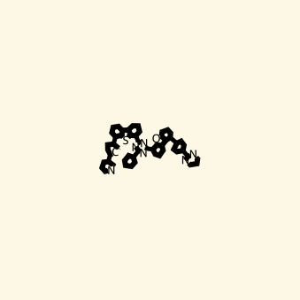 c1ccc(-c2nc(-c3cccc4c3oc3cccc(-c5ccc(-c6ncccn6)cc5)c34)nc(-c3cccc4c3sc3c(-c5ccc(-c6cccnc6)cc5)cccc34)n2)cc1